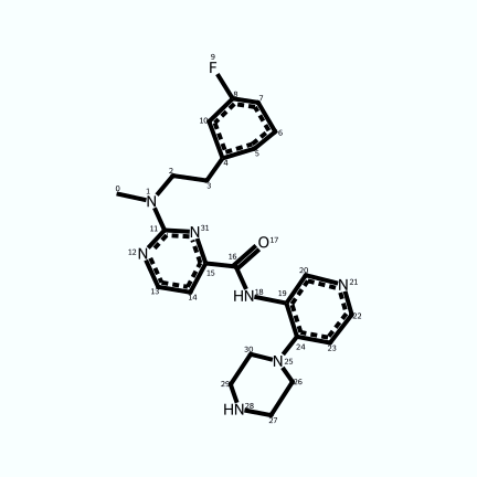 CN(CCc1cccc(F)c1)c1nccc(C(=O)Nc2cnccc2N2CCNCC2)n1